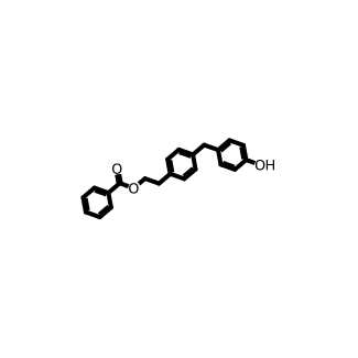 O=C(OCCc1ccc(Cc2ccc(O)cc2)cc1)c1ccccc1